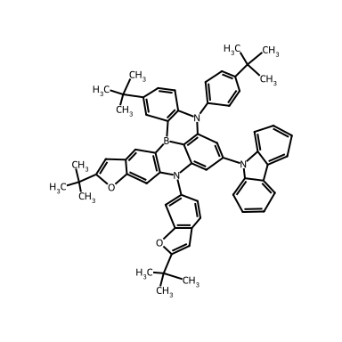 CC(C)(C)c1ccc(N2c3ccc(C(C)(C)C)cc3B3c4cc5cc(C(C)(C)C)oc5cc4N(c4ccc5cc(C(C)(C)C)oc5c4)c4cc(-n5c6ccccc6c6ccccc65)cc2c43)cc1